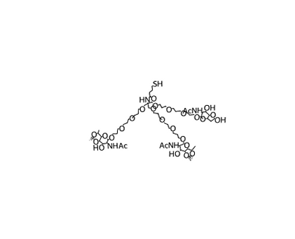 CC(=O)NC1C(OCCCOCCCOCCCOCC(COCCCOCCCOCCCOC2OC3C(C)O[C@@H](C)OC3C(O)C2NC(C)=O)(COCCCOCCCOCCCOC2OC3C(C)O[C@@H](C)OC3C(O)C2NC(C)=O)NC(=O)CCCS)OC2CC(O)OC2C1O